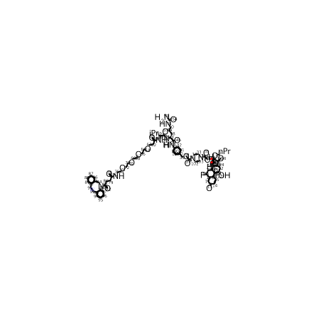 CCCC1O[C@@H]2CC3[C@@H]4C[C@H](F)C5=CC(=O)C=C[C@]5(C)[C@@]4(F)[C@@H](O)C[C@]3(C)[C@]2(C(=O)COC(=O)N2CCN(C(=O)OCc3ccc(NC(=O)[C@H](CCCNC(N)=O)NC(=O)[C@@H](NC(=O)CCOCCOCCOCCOCCNC(=O)CCC(=O)N4Cc5ccccc5/C=C\c5ccccc54)C(C)C)cc3)CC2)O1